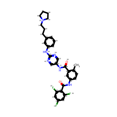 Cc1ccc(NC(=O)c2c(F)cc(F)cc2F)cc1C(=O)Nc1cnc(Nc2cccc(CCCN3CCCC3)c2)nc1